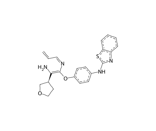 C=C/C=N\C(Oc1ccc(Nc2nc3ccccc3s2)cc1)=C(/N)[C@H]1CCOC1